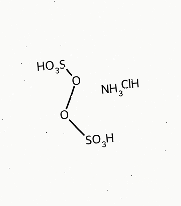 Cl.N.O=S(=O)(O)OOS(=O)(=O)O